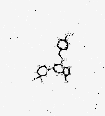 CCc1cnn2c(NCc3ccc(OC)nc3)cc(N3CCCC(F)(F)C3)nc12